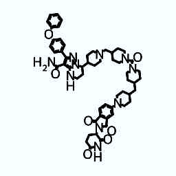 NC(=O)c1c(-c2ccc(Oc3ccccc3)cc2)nn2c1NCCC2C1CCN(CC2CCN(C(=O)N3CCC(CC4CCN(c5ccc6c(c5)C(=O)N(C5CCC(=O)NC5=O)C6=O)CC4)CC3)CC2)CC1